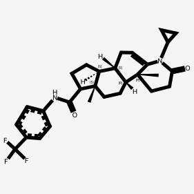 C[C@]12CCC(=O)N(C3CC3)C1=CC[C@@H]1[C@H]2CC[C@]2(C)C(C(=O)Nc3ccc(C(F)(F)F)cc3)CC[C@@H]12